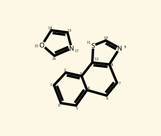 c1ccc2c(c1)ccc1ncsc12.c1cocn1